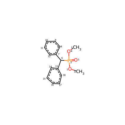 COP(=O)(OC)C(c1ccccc1)c1ccccc1